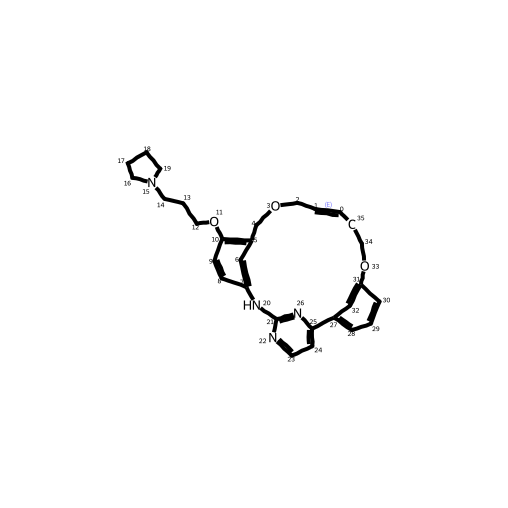 C1=C/COCc2cc(ccc2OCCCN2CCCC2)Nc2nccc(n2)-c2cccc(c2)OCC/1